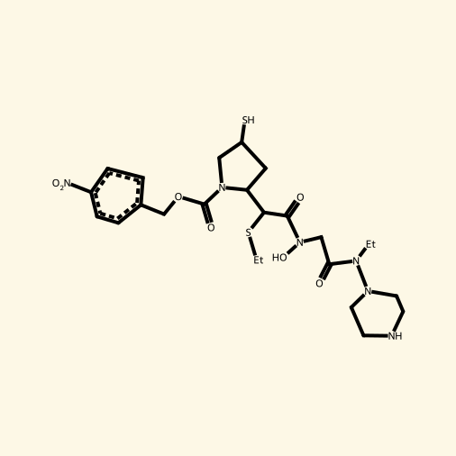 CCSC(C(=O)N(O)CC(=O)N(CC)N1CCNCC1)C1CC(S)CN1C(=O)OCc1ccc([N+](=O)[O-])cc1